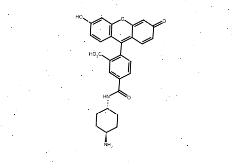 N[C@H]1CC[C@H](NC(=O)c2ccc(-c3c4ccc(=O)cc-4oc4cc(O)ccc34)c(C(=O)O)c2)CC1